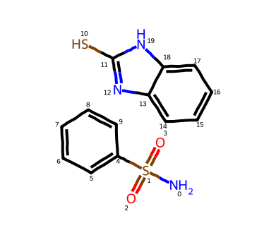 NS(=O)(=O)c1ccccc1.Sc1nc2ccccc2[nH]1